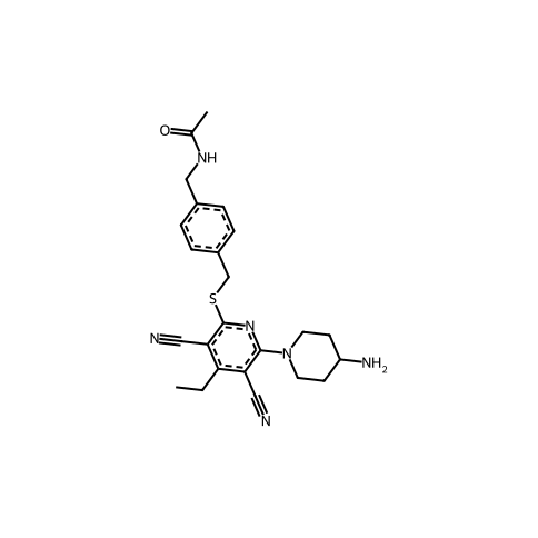 CCc1c(C#N)c(SCc2ccc(CNC(C)=O)cc2)nc(N2CCC(N)CC2)c1C#N